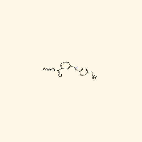 COC(=O)c1cccc(/C=C/c2ccc(CC(C)C)cc2)c1